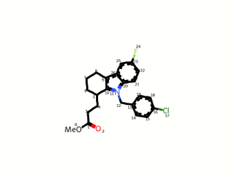 COC(=O)CCC1CCCc2c1n(Cc1ccc(Cl)cc1)c1ccc(F)cc21